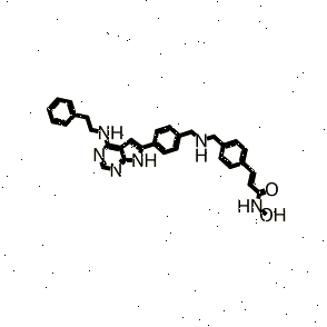 O=C(C=Cc1ccc(CNCc2ccc(-c3cc4c(NCCc5ccccc5)ncnc4[nH]3)cc2)cc1)NO